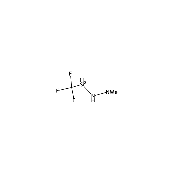 CNN[SiH2]C(F)(F)F